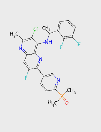 Cc1nc2cc(F)c(-c3ccc(P(C)(C)=O)nc3)nc2c(NC(C)c2cccc(F)c2F)c1Cl